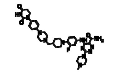 CN1CCN(c2nnc(C(N)=O)c(Nc3ccc(N4CCC(CN5CCN(c6ccc(N7CCC(=O)NC7=O)cc6)CC5)CC4)c(F)c3)n2)CC1